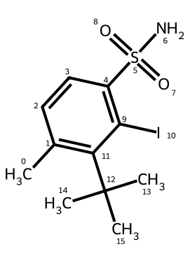 Cc1ccc(S(N)(=O)=O)c(I)c1C(C)(C)C